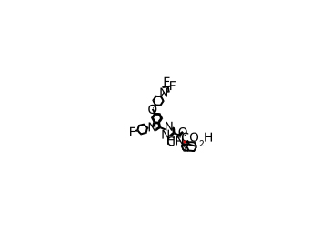 O=C(NC1(C(=O)O)C2CC3CC(C2)CC1C3)c1cnc(-c2cn(C3CCC(F)CC3)c3cc(O[C@H]4CC[C@H](N5CC(F)(F)C5)CC4)ccc23)nc1C(F)(F)F